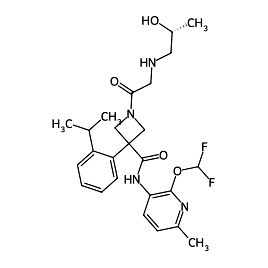 Cc1ccc(NC(=O)C2(c3ccccc3C(C)C)CN(C(=O)CNC[C@@H](C)O)C2)c(OC(F)F)n1